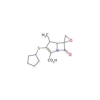 CC1C(SC2CCCC2)=C(C(=O)O)N2C(=O)C3(CO3)C12